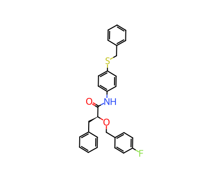 O=C(Nc1ccc(SCc2ccccc2)cc1)[C@H](Cc1ccccc1)OCc1ccc(F)cc1